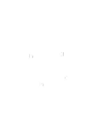 ClC(Cl)C(Br)Br